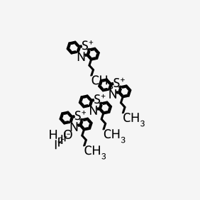 CCCCc1cccc2[s+]c3ccccc3nc12.CCCCc1cccc2[s+]c3ccccc3nc12.CCCCc1cccc2[s+]c3ccccc3nc12.CCCCc1cccc2[s+]c3ccccc3nc12.O.[I-].[I-].[I-].[I-]